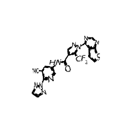 N#Cc1cc(NC(=O)c2cnn(-c3ncnc4sccc34)c2C(F)(F)F)cnc1-n1nccn1